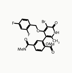 CNC(=O)c1ccc(C(=O)OC)c(-c2c(C)[nH]c(=O)c(Br)c2OCc2ccc(F)cc2F)c1